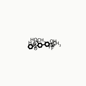 CC(C)(O)c1cc(-c2ccc([C@@](C)(O)C(F)(F)F)cc2)ccc1S(=O)(=O)c1ccccc1